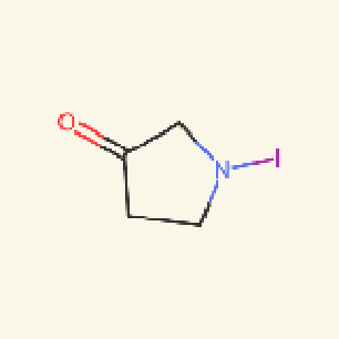 O=C1CCN(I)C1